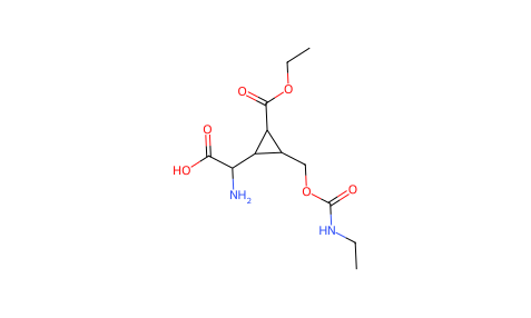 CCNC(=O)OCC1C(C(=O)OCC)C1C(N)C(=O)O